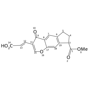 COC(=O)C1CCc2cc3c(=O)c(C=CC(=O)O)coc3cc21